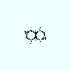 c1nnc2ncncc2n1